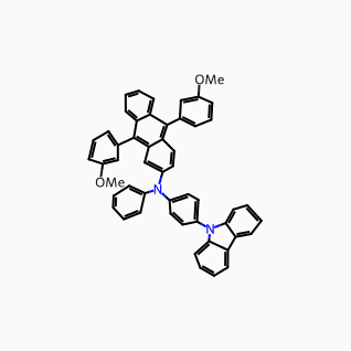 COc1cccc(-c2c3ccccc3c(-c3cccc(OC)c3)c3cc(N(c4ccccc4)c4ccc(-n5c6ccccc6c6ccccc65)cc4)ccc23)c1